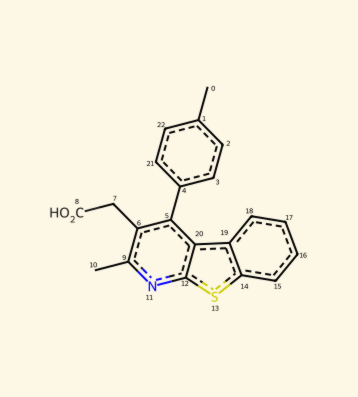 Cc1ccc(-c2c(CC(=O)O)c(C)nc3sc4ccccc4c23)cc1